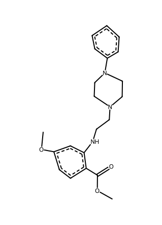 COC(=O)c1ccc(OC)cc1NCCN1CCN(c2ccccc2)CC1